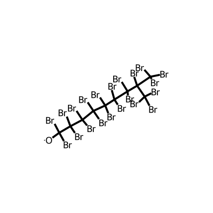 [O]C(Br)(Br)C(Br)(Br)C(Br)(Br)C(Br)(Br)C(Br)(Br)C(Br)(Br)C(Br)(Br)C(Br)(C(Br)(Br)Br)C(Br)(Br)Br